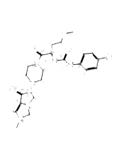 CSCC[C@@H](NC(=O)Nc1ccc(Cl)cc1)C(=O)N1CCN(N2CN3CN(C)C=C3C2=O)CC1